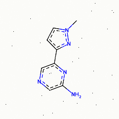 Cn1ccc(-c2cncc(N)n2)n1